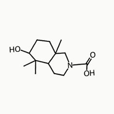 CC12CCC(O)C(C)(C)C1CCN(C(=O)O)C2